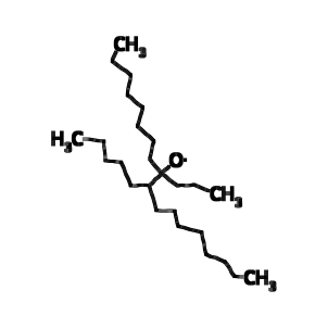 CCCCCCCCC(CCCCC)C([O])(CCC)CCCCCCCC